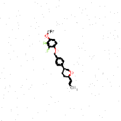 C/C=C/C1CCC(c2ccc(COc3ccc(OCCC)c(F)c3F)cc2)CO1